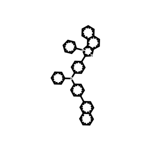 c1ccc(N(c2ccc(-c3ccc4ccccc4c3)cc2)c2ccc(-c3nc4ccc5ccccc5c4n3-c3ccccc3)cc2)cc1